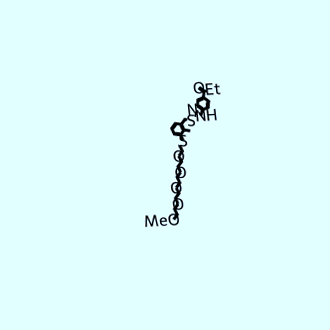 CCC(=O)c1ccc2[nH]c(SCc3cccc(SCCOCCOCCOCCOCCOC)c3C)nc2c1